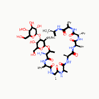 CC(=O)NC1[C@@H](OC(C)[C@H](N)C(=O)NC(C(=O)N[C@@H](C)C(=O)NC(C)C(=O)N[C@@H](C)C(=O)NC(C(=O)N[C@H](C(=O)NC(C(=O)N[C@@H](C)C(=O)O)C(C)C)C(C)C)C(C)C)C(C)C)OC(CO)[C@H](O)[C@@H]1O[C@@H]1OC(CO)[C@H](O)C(O)[C@@H]1O